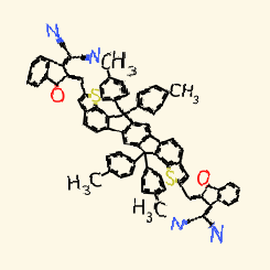 Cc1ccc(C2(c3ccc(C)cc3)c3cc4c(cc3-c3ccc5cc(/C=C6\C(=O)c7ccccc7C6=C(C#N)C#N)sc5c32)C(c2ccc(C)cc2)(c2ccc(C)cc2)c2c-4ccc3cc(/C=C4\C(=O)c5ccccc5C4=C(C#N)C#N)sc23)cc1